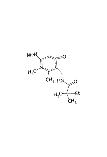 CCC(C)(C)C(=O)NCc1c(C)n(C)c(NC)cc1=O